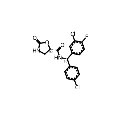 O=C1NC[C@@H](C(=O)N[C@H](c2ccc(Cl)cc2)c2ccc(F)c(Cl)c2)O1